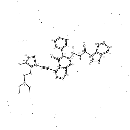 CCN(CC)CCc1c(C#Cc2cccc3nc([C@H](C)NC(=O)c4c(C)nn5cccnc45)n(-c4ccccc4)c(=O)c23)cnn1C